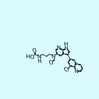 O=CN(CCCNC(=O)O)c1cnc2[nH]cc(-c3cc(Cl)c4ncccc4c3)c2c1